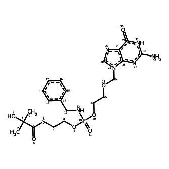 CC(C)(O)C(=O)SCCOP(=O)(NCc1ccccc1)OCCOCn1cnc2c(=O)[nH]c(N)nc21